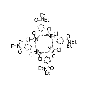 CCN(CC)C(=O)c1ccc(-c2c3nc(c(-c4ccc(C(=O)N(CC)CC)cc4)c4[nH]c(c(Cl)c4Cl)c(-c4ccc(C(=O)N(CC)CC)cc4)c4nc(c(-c5ccc(C(=O)N(CC)CC)cc5)c5[nH]c2c(Cl)c5Cl)C(Cl)=C4Cl)C(Cl)=C3Cl)cc1